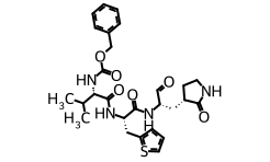 CC(C)[C@H](NC(=O)OCc1ccccc1)C(=O)N[C@@H](Cc1cccs1)C(=O)N[C@H](C=O)C[C@@H]1CCNC1=O